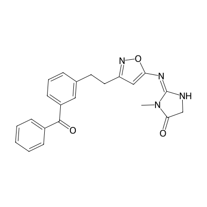 CN1C(=O)CNC1=Nc1cc(CCc2cccc(C(=O)c3ccccc3)c2)no1